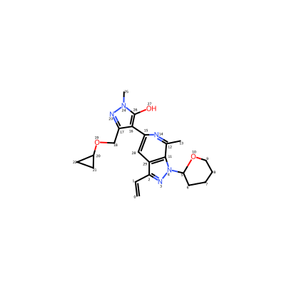 C=Cc1nn(C2CCCCO2)c2c(C)nc(-c3c(COC4CC4)nn(C)c3O)cc12